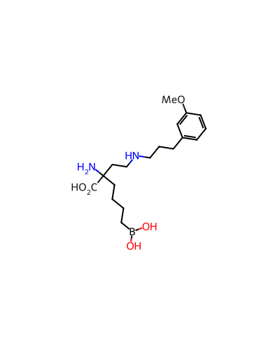 COc1cccc(CCCNCCC(N)(CCCCB(O)O)C(=O)O)c1